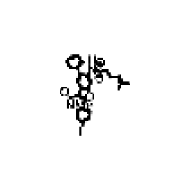 CNC(=O)c1c(-c2ccc(F)cc2)oc2cc(NS(=O)(=O)CCC=C(C)C)c(-c3ccccc3)cc12